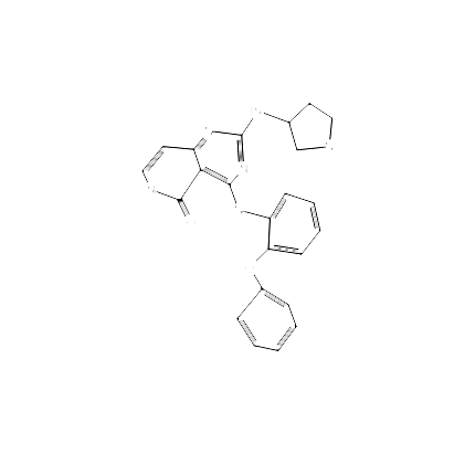 Cl.O=c1[nH]ccc2nc(NC3CCNC3)nc(Nc3ccccc3Oc3ccccc3)c12